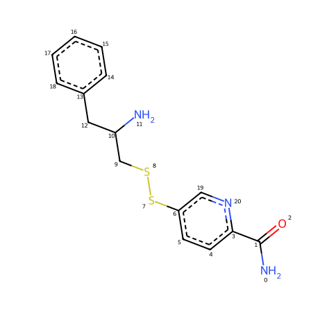 NC(=O)c1ccc(SSCC(N)Cc2ccccc2)cn1